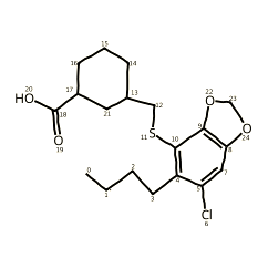 C[CH]CCc1c(Cl)cc2c(c1SCC1CCCC(C(=O)O)C1)OCO2